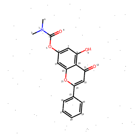 CN(C)C(=O)Oc1cc(O)c2c(=O)cc(-c3ccccc3)oc2c1